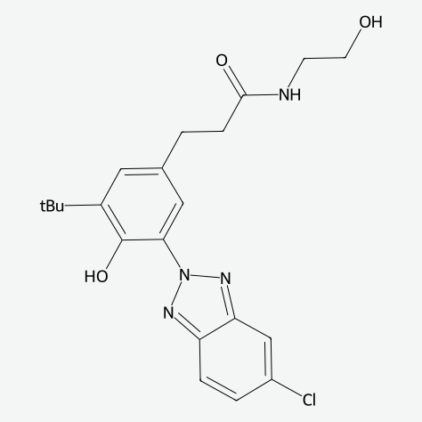 CC(C)(C)c1cc(CCC(=O)NCCO)cc(-n2nc3ccc(Cl)cc3n2)c1O